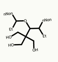 CCCCCCCCCC(CC)OC(C(CC)CCCCCCCCC)C(CO)(CO)CO